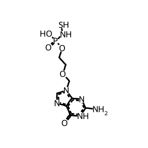 Nc1nc2c(ncn2COCCOP(=O)(O)NS)c(=O)[nH]1